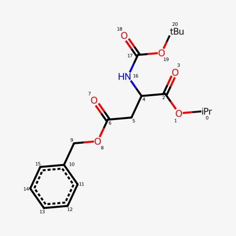 CC(C)OC(=O)C(CC(=O)OCc1ccccc1)NC(=O)OC(C)(C)C